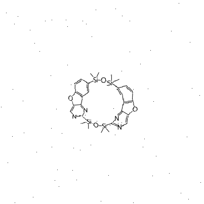 C[Si]1(C)O[Si](C)(C)c2ccc3oc4cnc(nc4c3c2)[Si](C)(C)O[Si](C)(C)c2ncc3oc4ccc1cc4c3n2